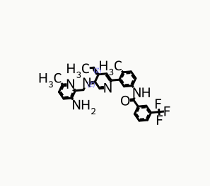 C/C=C1/C=C(c2cc(NC(=O)c3cccc(C(F)(F)F)c3)ccc2C)N=C/C1=N\Cc1nc(C)ccc1N